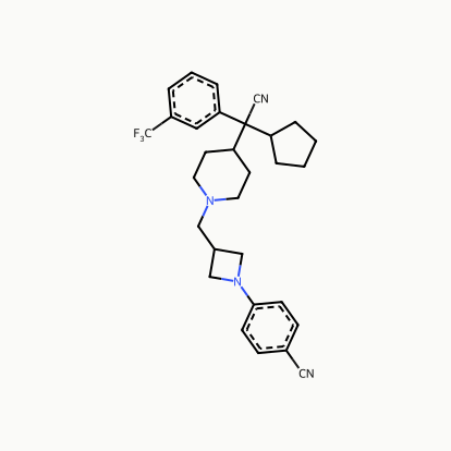 N#Cc1ccc(N2CC(CN3CCC(C(C#N)(c4cccc(C(F)(F)F)c4)C4CCCC4)CC3)C2)cc1